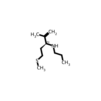 C=C(C)[C@H](CCSC)NCCC